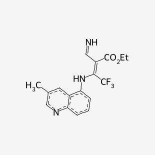 CCOC(=O)/C(C=N)=C(/Nc1cccc2ncc(C)cc12)C(F)(F)F